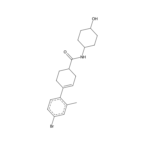 Cc1cc(Br)ccc1C1=CCC(C(=O)NC2CCC(O)CC2)CC1